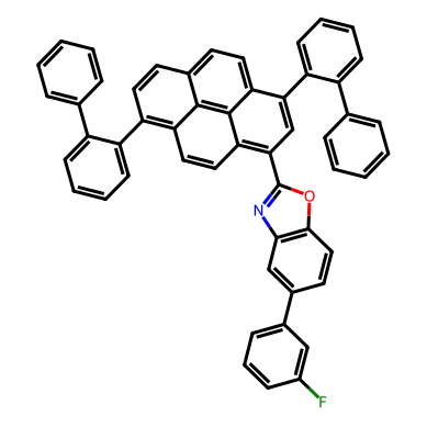 Fc1cccc(-c2ccc3oc(-c4cc(-c5ccccc5-c5ccccc5)c5ccc6ccc(-c7ccccc7-c7ccccc7)c7ccc4c5c67)nc3c2)c1